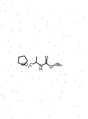 C1CCCC1.CC(NC(=O)OC(C)(C)C)C(=O)O